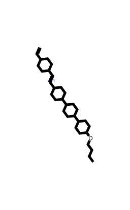 C=CC1CCC(/C=C/C2CCC(C3CCC(C4CCC(OCCCC)CC4)CC3)CC2)CC1